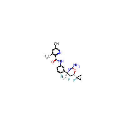 Cc1cc(C#N)cnc1C(=O)Nc1ccc(F)c([C@@]2(C)N=C(N)O[C@H](C3(F)CC3)[C@@H]2F)c1